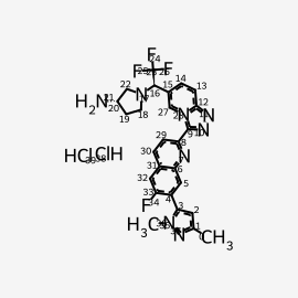 Cc1cc(-c2cc3nc(-c4nnc5ccc([C@@H](N6CC[C@H](N)C6)C(F)(F)F)cn45)ccc3cc2F)n(C)n1.Cl.Cl